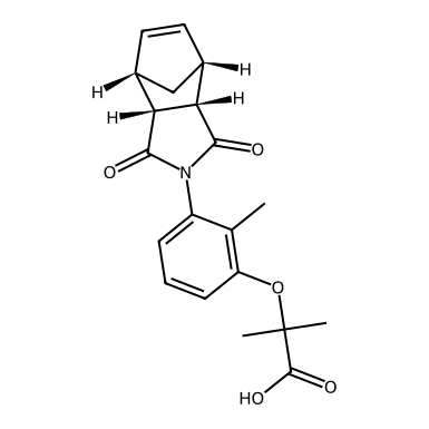 Cc1c(OC(C)(C)C(=O)O)cccc1N1C(=O)[C@@H]2[C@H](C1=O)[C@@H]1C=C[C@H]2C1